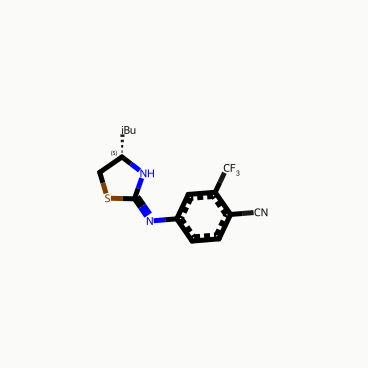 CCC(C)[C@H]1CSC(=Nc2ccc(C#N)c(C(F)(F)F)c2)N1